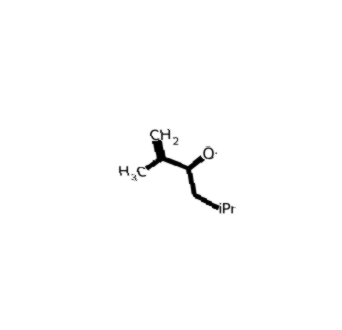 C=C(C)C([O])CC(C)C